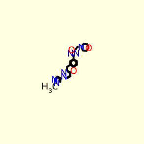 Cn1cc(-n2ccc(=O)c(Cc3cccc(-c4noc(CN5CCOCC5)n4)c3)n2)cn1